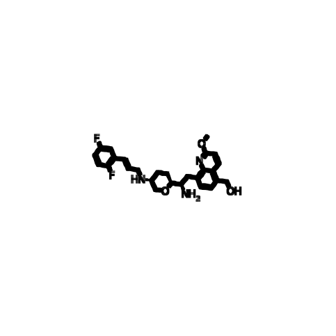 COc1ccc2c(CO)ccc(C[C@@H](N)[C@@H]3CC[C@@H](NC/C=C/c4cc(F)ccc4F)CO3)c2n1